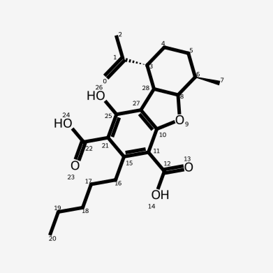 C=C(C)[C@@H]1CC[C@@H](C)C2Oc3c(C(=O)O)c(CCCCC)c(C(=O)O)c(O)c3C21